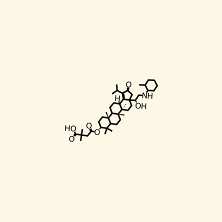 CC(C)C1=C2[C@H]3CCC4[C@@]5(C)CC[C@H](OC(=O)CC(C)(C)C(=O)O)C(C)(C)C5CC[C@@]4(C)[C@]3(C)CCC2([C@H](O)CNC2CCCCC2C)CC1=O